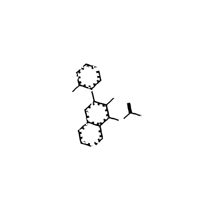 Cc1ccncc1-c1cc2ccncc2c(OC(N)=O)c1F